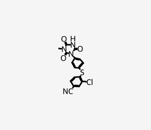 Cn1c(=O)[nH]c(=O)n(-c2ccc(Sc3ccc(C#N)cc3Cl)cc2)c1=O